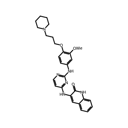 COc1cc(Nc2nccc(Nc3cc4ccccc4[nH]c3=O)n2)ccc1OCCCN1CCCCC1